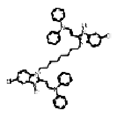 CCn1c(C=CN(c2ccccc2)c2ccccc2)[n+](CCCCCCCC[n+]2c(C=CN(c3ccccc3)c3ccccc3)n(CC)c3cc(Cl)ccc32)c2ccc(Cl)cc21